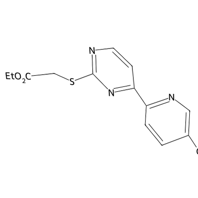 CCOC(=O)CSc1nccc(-c2ccc(Cl)cn2)n1